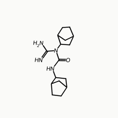 N=C(N)N(C(=O)NC1CC2CCC1C2)C1CC2CCC1C2